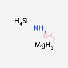 B.N.[MgH2].[SiH4]